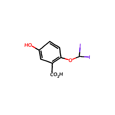 O=C(O)c1cc(O)ccc1OC(I)I